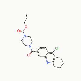 CCCOC(=O)N1CCN(C(=O)c2ccc3c(Cl)c4c(nc3c2)CCCC4)CC1